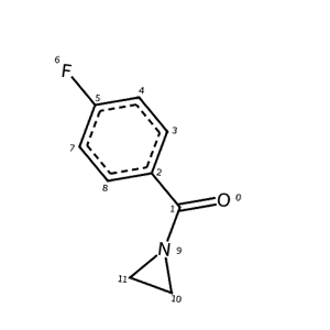 O=C(c1ccc(F)cc1)N1CC1